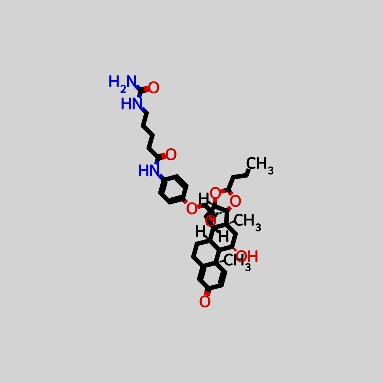 CCCC1O[C@@H]2C[C@H]3[C@@H]4CCC5=CC(=O)C=C[C@]5(C)C4[C@@H](O)C[C@]3(C)[C@]2(C(=O)COc2ccc(NC(=O)CCCCNC(N)=O)cc2)O1